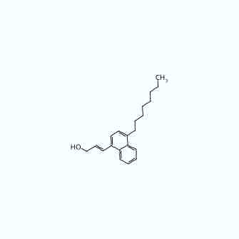 CCCCCCCCc1ccc(C=CCO)c2ccccc12